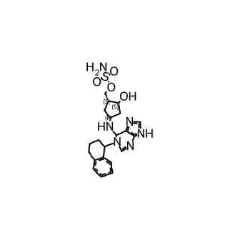 NS(=O)(=O)OC[C@@H]1C[C@@H](NC2c3nc[nH]c3N=CN2C2CCCc3ccccc32)C[C@@H]1O